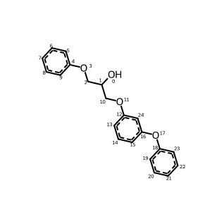 OC(COc1ccccc1)COc1cccc(Oc2ccccc2)c1